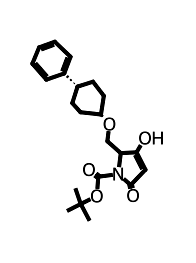 CC(C)(C)OC(=O)N1C(=O)C=C(O)C1CO[C@H]1CC[C@@H](c2ccccc2)CC1